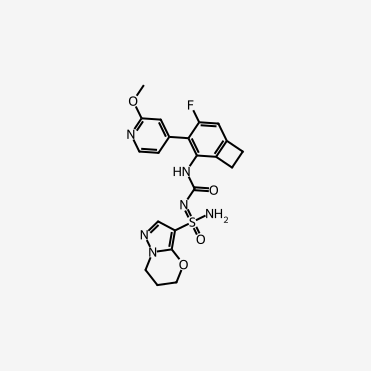 COc1cc(-c2c(F)cc3c(c2NC(=O)N=S(N)(=O)c2cnn4c2OCCC4)CC3)ccn1